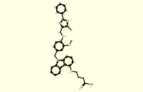 COc1cc(Cn2c3ccccc3c3c(OCCCC(=O)O)cccc32)ccc1OCc1nc(-c2ccccc2)oc1C